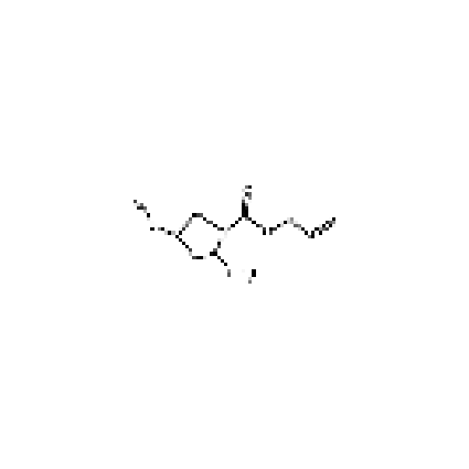 C=CCOC(=O)N1CC(SC(C)=O)CC1C(=O)O